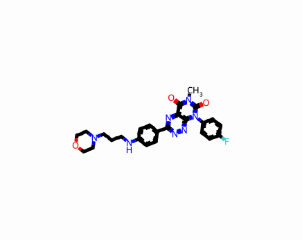 Cn1c(=O)c2nc(-c3ccc(NCCCN4CCOCC4)cc3)nnc2n(-c2ccc(F)cc2)c1=O